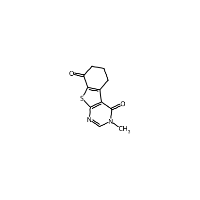 Cn1cnc2sc3c(c2c1=O)CCCC3=O